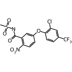 CS(=O)(=O)[N]C(=O)c1cc(Oc2ccc(C(F)(F)F)cc2Cl)ccc1[N+](=O)[O-]